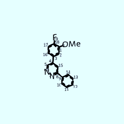 COc1cc(-c2cnnc(-c3ccccc3)c2)ccc1F